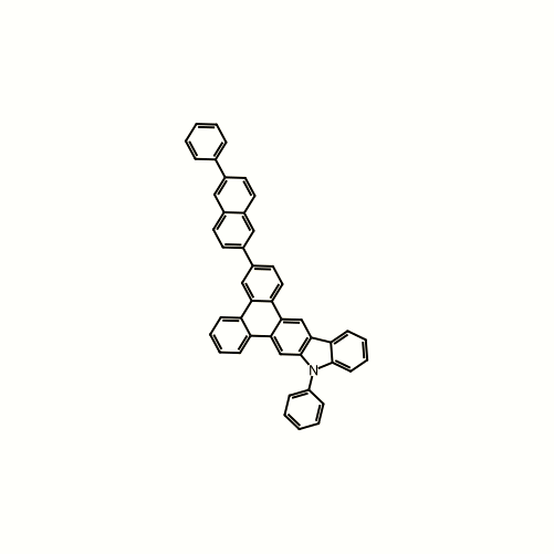 c1ccc(-c2ccc3cc(-c4ccc5c(c4)c4ccccc4c4cc6c(cc54)c4ccccc4n6-c4ccccc4)ccc3c2)cc1